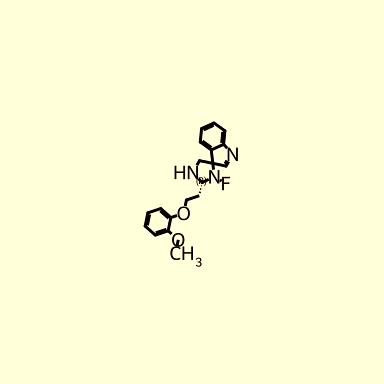 COc1ccccc1OCC[C@@H]1NCC2(C=Nc3ccccc32)N1F